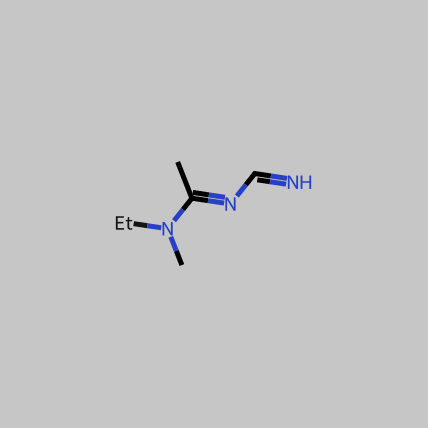 CCN(C)/C(C)=N/C=N